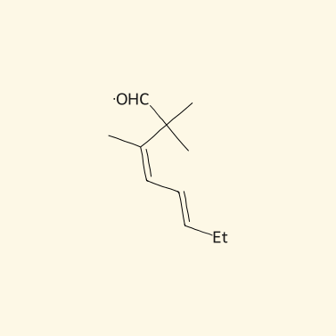 CCC=CC=C(C)C(C)(C)[C]=O